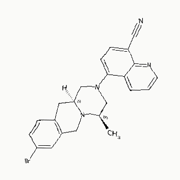 C[C@@H]1CN(c2ccc(C#N)c3ncccc23)C[C@@H]2Cc3ccc(Br)cc3CN21